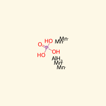 O=P(O)(O)O.[AlH3].[Mn].[Mn].[Mn].[Mn]